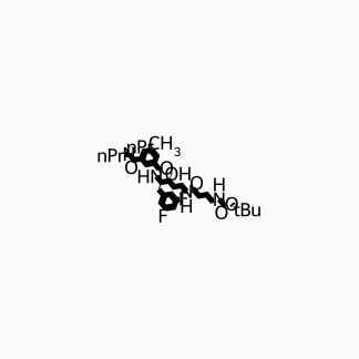 CCCN(CCC)C(=O)c1cc(C)cc(C(=O)N[C@@H](Cc2cc(F)cc(F)c2)[C@H](O)CCNC(=O)CCCNC(=O)OC(C)(C)C)c1